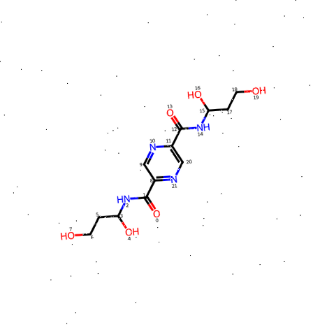 O=C(NC(O)CCO)c1cnc(C(=O)NC(O)CCO)cn1